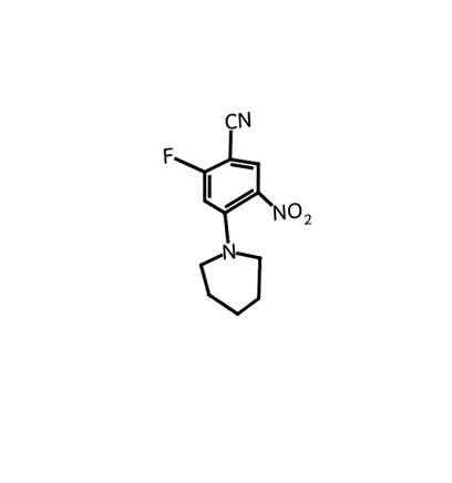 N#Cc1cc([N+](=O)[O-])c(N2CCCCC2)cc1F